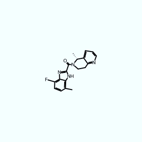 Cc1ccc(F)c2nc(C(=O)N3CCc4ncccc4[C@H]3C)[nH]c12